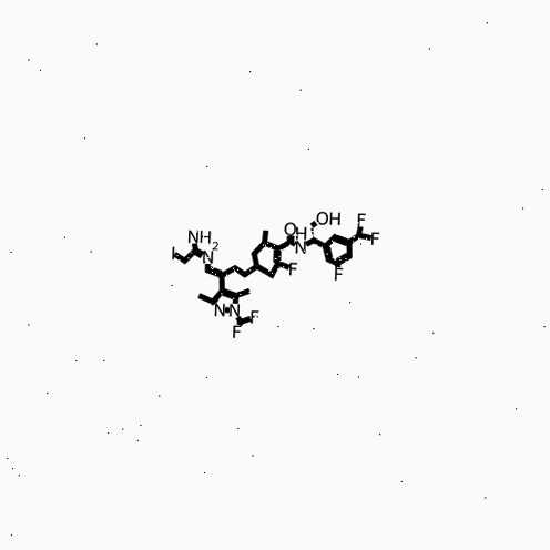 Cc1nn(C(F)F)c(C)c1/C(=C/N=C(/N)CI)CCC1CC(F)=C(C(=O)N[C@H](CO)c2cc(F)cc(C(F)F)c2)C(C)C1